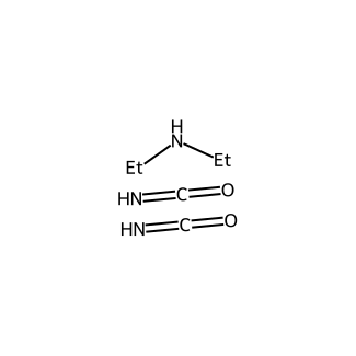 CCNCC.N=C=O.N=C=O